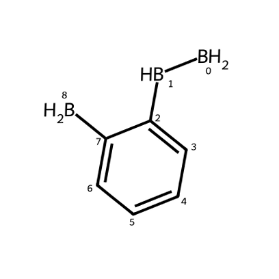 BBc1ccccc1B